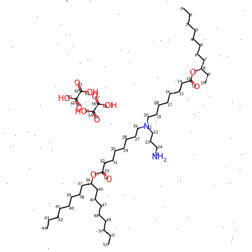 CCCCCCCCC(CC)OC(=O)CCCCCCCN(CCCN)CCCCCCCC(=O)OC(CCCCCCCC)CCCCCCCC.O=C(O)C(=O)O.O=C(O)C(=O)O